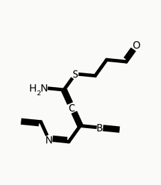 C=BC(=C=C(N)SCCC=O)/C=N\C=C